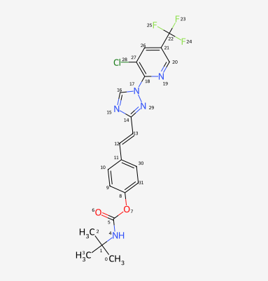 CC(C)(C)NC(=O)Oc1ccc(/C=C/c2ncn(-c3ncc(C(F)(F)F)cc3Cl)n2)cc1